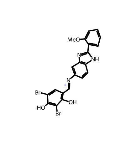 COc1ccccc1-c1nc2cc(/N=C/c3cc(Br)c(O)c(Br)c3O)ccc2[nH]1